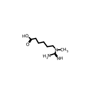 CN(CCCCCC(=O)O)C(=N)N